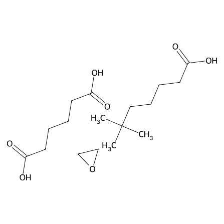 C1CO1.CC(C)(C)CCCCC(=O)O.O=C(O)CCCCC(=O)O